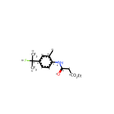 CCOC(=O)CC(=O)Nc1ccc(C(F)(C(F)(F)F)C(F)(F)F)cc1C